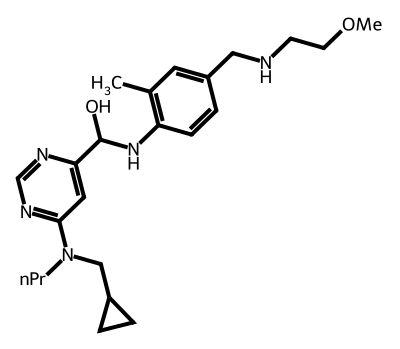 CCCN(CC1CC1)c1cc(C(O)Nc2ccc(CNCCOC)cc2C)ncn1